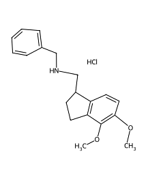 COc1ccc2c(c1OC)CCC2CNCc1ccccc1.Cl